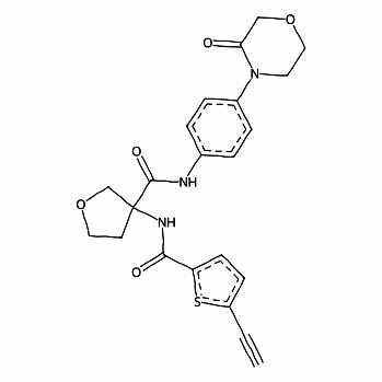 C#Cc1ccc(C(=O)NC2(C(=O)Nc3ccc(N4CCOCC4=O)cc3)CCOC2)s1